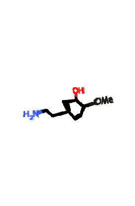 COC1C=CC(CCN)=CC1O